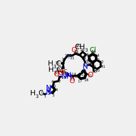 CCn1ccc(CCC(=O)NS2(=O)=NC(=O)c3ccc4c(c3)N(CC3CCC3C(OC)/C=C/CC(C)C2C)CC2(CCCc3cc(Cl)ccc32)CO4)n1